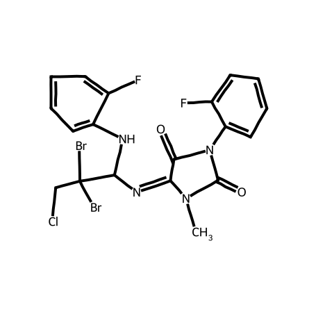 CN1C(=O)N(c2ccccc2F)C(=O)C1=NC(Nc1ccccc1F)C(Br)(Br)CCl